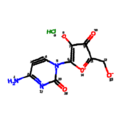 Cl.Nc1c#cn(C2=C([O])C(=O)C(C[O-])=[O+]2)c(=O)n1